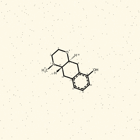 CN1CCO[C@H]2Cc3c(O)cccc3C[C@@H]21